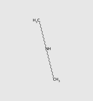 CCCCCCCCCCCCCCCCCCNCCCCCCCCCCCCCCCCC